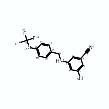 N#Cc1cc(Cl)cc(NCc2ccc(OC(F)(F)F)cc2)c1